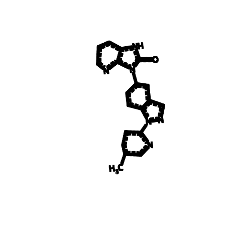 Cc1ccc(-n2ncc3cc(-n4c(=O)[nH]c5cccnc54)ccc32)nc1